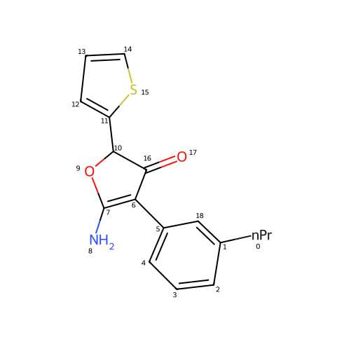 CCCc1cccc(C2=C(N)OC(c3cccs3)C2=O)c1